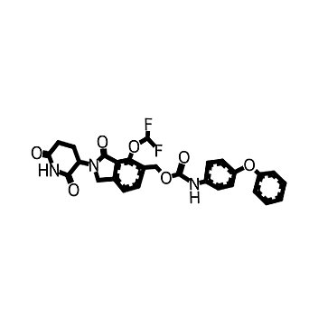 O=C1CCC(N2Cc3ccc(COC(=O)Nc4ccc(Oc5ccccc5)cc4)c(OC(F)F)c3C2=O)C(=O)N1